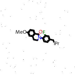 COc1ccc2c(c1)CCN(c1ccc(CC(C)C)cc1F)C2=O